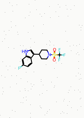 O=S(=O)(N1CCC(c2c[nH]c3cc(F)ccc23)CC1)C(F)(F)F